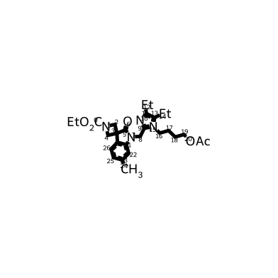 CCOC(=O)N1CC2(C1)C(=O)N(Cc1nc(CC)c(CC)n1CCCCOC(C)=O)c1cc(C)ccc12